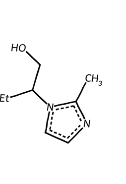 CCC(CO)n1ccnc1C